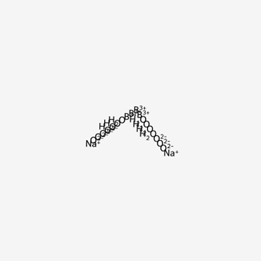 O.O.O.O.O.O.O.[B+3].[B+3].[B+3].[B+3].[Na+].[Na+].[O-2].[O-2].[O-2].[O-2].[O-2].[O-2].[O-2]